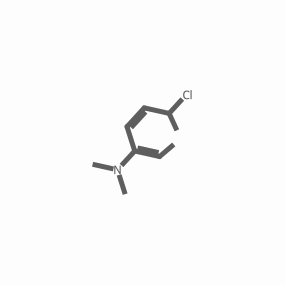 C/C=C(\C=C/C(C)Cl)N(C)C